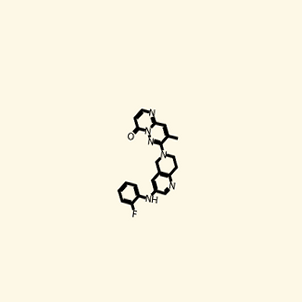 Cc1cc2nccc(=O)n2nc1N1CCc2ncc(Nc3ccccc3F)cc2C1